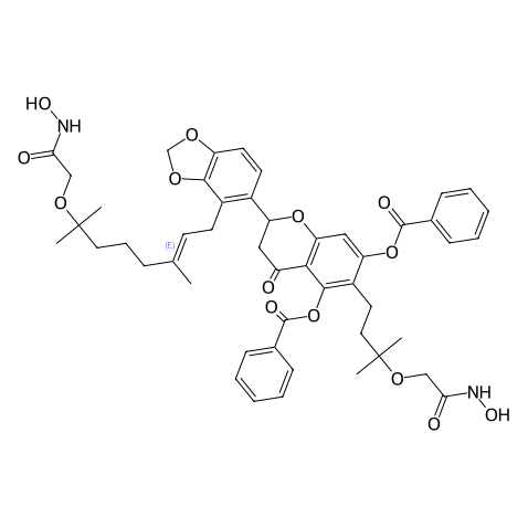 C/C(=C\Cc1c(C2CC(=O)c3c(cc(OC(=O)c4ccccc4)c(CCC(C)(C)OCC(=O)NO)c3OC(=O)c3ccccc3)O2)ccc2c1OCO2)CCCC(C)(C)OCC(=O)NO